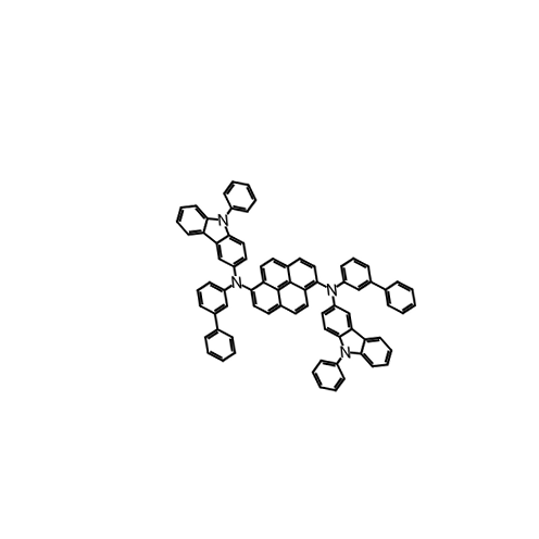 c1ccc(-c2cccc(N(c3ccc4c(c3)c3ccccc3n4-c3ccccc3)c3ccc4ccc5c(N(c6cccc(-c7ccccc7)c6)c6ccc7c(c6)c6ccccc6n7-c6ccccc6)ccc6ccc3c4c65)c2)cc1